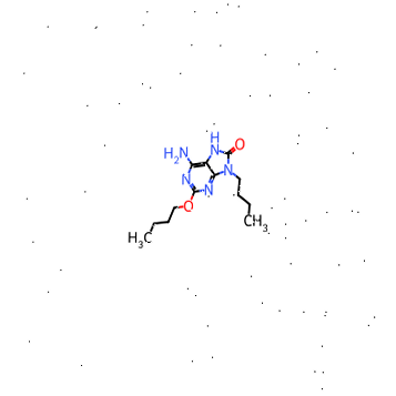 CC[CH]Cn1c(=O)[nH]c2c(N)nc(OCCCC)nc21